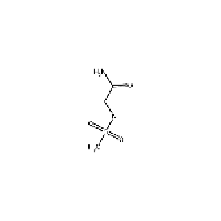 CS(=O)(=O)[N]CC(N)=O